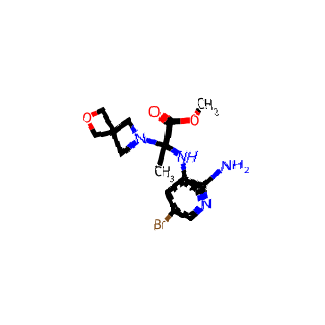 COC(=O)C(C)(Nc1cc(Br)cnc1N)N1CC2(COC2)C1